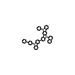 c1ccc(-c2ccc(-n3c4ccccc4c4cc(-c5ccc6c(c5)c5cc7c(cc5n6-c5cccc6ccccc56)c5ccccc5n7-c5ccccc5)ccc43)cc2)cc1